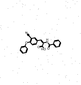 N#Cc1cc(/C=C(/NC(=O)c2ccccc2)C(=O)O)ccc1Oc1ccccc1